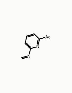 C=Nc1cccc(C(C)=O)n1